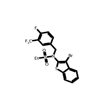 CCS(=O)(=O)N(Cc1ccc(F)c(C(F)(F)F)c1)c1sc2ccccc2c1Br